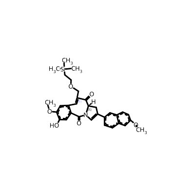 COc1ccc2cc(C3=CN4C(=O)c5cc(O)c(OC)cc5/C=C(\COCC[Si](C)(C)C)C(=O)[C@@H]4C3)ccc2c1